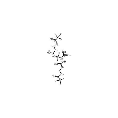 CC(C)(C)C(=O)OCOC(=O)N[C@@H](C(=O)O)C(C)(C)SC(O)OCOC(=O)C(C)(C)C